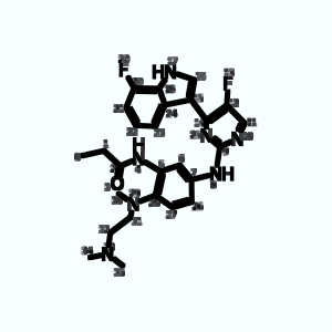 CCC(=O)Nc1cc(Nc2ncc(F)c(-c3c[nH]c4c(F)cccc34)n2)ccc1N(C)CCN(C)C